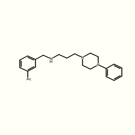 CC(=O)c1cccc(CNCCCN2CCN(c3ccccc3)CC2)c1